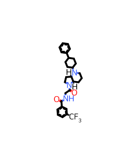 O=C(NCC(=O)N1CC[C@H]2[C@H]1CCCN2C1CCC(c2ccccc2)CC1)c1cccc(C(F)(F)F)c1